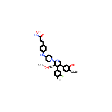 COc1ccc(-c2cnc(N3CCC(Nc4ccc(/C=C/C(=O)NO)cc4)CC3)c(C#N)c2-c2ccc(C#N)c(F)c2)cc1O.O=CO